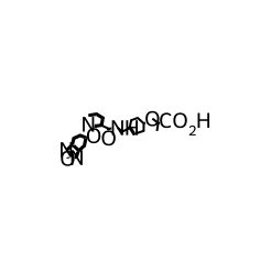 CC(OC1CC=C(CNC(=O)c2cccnc2Oc2ccc3nonc3c2)CC1)C(=O)O